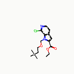 CCOC(=O)c1cc2ccnc(Cl)c2n1COCC[Si](C)(C)C